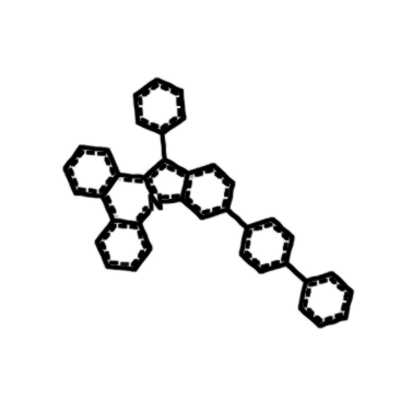 c1ccc(-c2ccc(-c3ccc4c(-c5ccccc5)c5c6ccccc6c6ccccc6n5c4c3)cc2)cc1